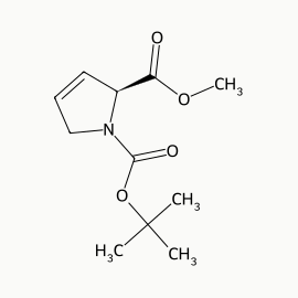 COC(=O)[C@@H]1C=CCN1C(=O)OC(C)(C)C